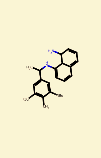 Cc1c(C(C)(C)C)cc(C(C)NC2=CC=CC3=CC=CC(N)C32)cc1C(C)(C)C